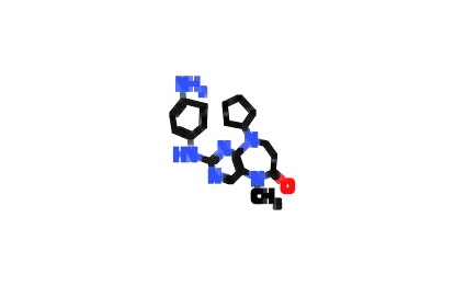 CN1C(=O)CCN(C2CCCC2)c2nc(Nc3ccc(N)cc3)ncc21